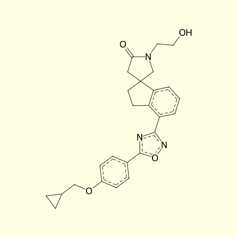 O=C1CC2(CCc3c(-c4noc(-c5ccc(OCC6CC6)cc5)n4)cccc32)CN1CCO